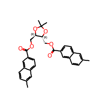 Cc1ccc2cc(C(=O)OC[C@H]3OC(C)(C)O[C@@H]3COC(=O)c3ccc4cc(C)ccc4c3)ccc2c1